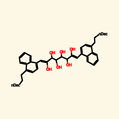 CCCCCCCCCCCCc1ccc(C=C(O)C(O)C(O)C(O)C(O)C(O)=Cc2ccc(CCCCCCCCCCCC)c3ccccc23)c2ccccc12